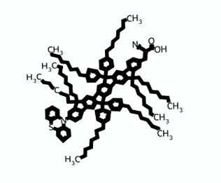 CCCCCCCCc1ccc(C2(c3ccc(CCCCCCCC)cc3)c3cc4c(cc3-c3cc5c(cc32)-c2cc3c(cc2C5(c2ccc(CCCCCCCC)cc2)c2ccc(CCCCCCCC)cc2)-c2ccc(N5c6ccccc6Sc6ccccc65)cc2C3(CCCCCCCC)CCCCCCCC)C(CCCCCCCC)(CCCCCCCC)c2cc(/C=C(\C#N)C(=O)O)ccc2-4)cc1